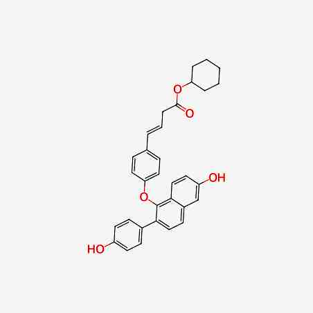 O=C(CC=Cc1ccc(Oc2c(-c3ccc(O)cc3)ccc3cc(O)ccc23)cc1)OC1CCCCC1